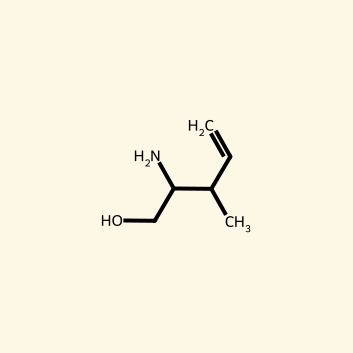 C=CC(C)C(N)CO